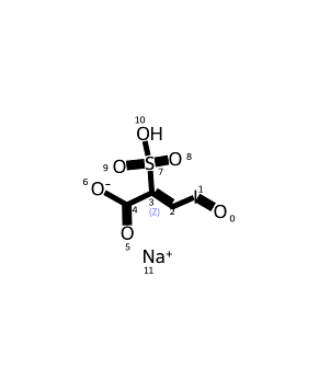 O=I/C=C(/C(=O)[O-])S(=O)(=O)O.[Na+]